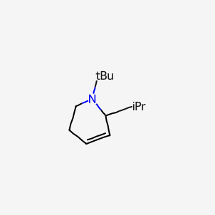 CC(C)C1C=CCCN1C(C)(C)C